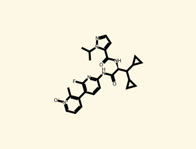 Cc1c(-c2ccc(NC(=O)[C@@H](NC(=O)c3ccnn3C(C)C)C(C3CC3)C3CC3)nc2F)ccc[n+]1[O-]